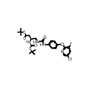 CC(C)(C)OC(=O)CC(CNC(=O)Nc1ccc(Oc2ncc(Cl)cc2F)cc1)NC(=O)OC(C)(C)C